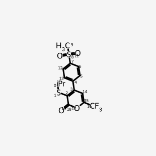 CC(C)Sc1c(-c2ccc(S(C)(=O)=O)cc2)cc(C(F)(F)F)oc1=O